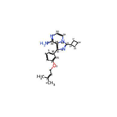 CC(C)=CCOc1cccc(-c2nc(C3CCC3)n3ccnc(N)c23)c1